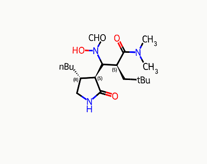 CCCC[C@H]1CNC(=O)[C@@H]1C([C@H](CC(C)(C)C)C(=O)N(C)C)N(O)C=O